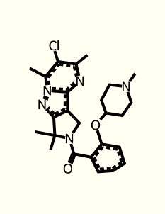 Cc1nc2c3c(nn2c(C)c1Cl)C(C)(C)N(C(=O)c1ccccc1OC1CCN(C)CC1)C3